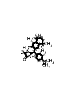 Cc1cc2c(cc1C(c1ccc(N(C)C)cc1)C1NC(=O)C(=O)S1)C(C)(C)CCC2(C)C